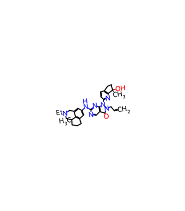 C=CCn1c(=O)c2cnc(Nc3cc4c5c(c3)CN(CC)C[C@@]5(C)CCC4)nc2n1-c1ccc2c(n1)[C@](C)(O)CC2